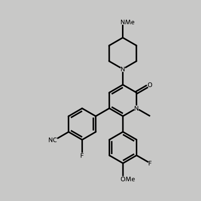 CNC1CCN(c2cc(-c3ccc(C#N)c(F)c3)c(-c3ccc(OC)c(F)c3)n(C)c2=O)CC1